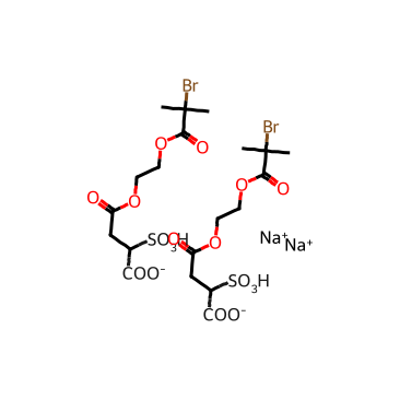 CC(C)(Br)C(=O)OCCOC(=O)CC(C(=O)[O-])S(=O)(=O)O.CC(C)(Br)C(=O)OCCOC(=O)CC(C(=O)[O-])S(=O)(=O)O.[Na+].[Na+]